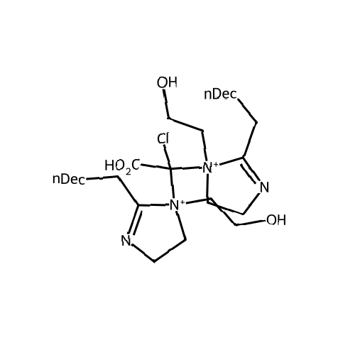 CCCCCCCCCCCC1=NCC[N+]1(CCO)C(Cl)(C(=O)O)[N+]1(CCO)CCN=C1CCCCCCCCCCC